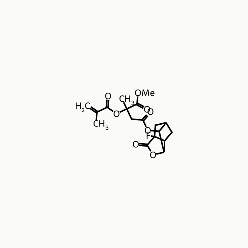 C=C(C)C(=O)OC(C)(CC(=O)OC1C2CC3C1OC(=O)C3(F)C2)C(=O)OC